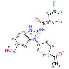 CC(=O)[C@H]1CC[C@@H](n2/c(=N/C(=O)c3cccc(F)c3)[nH]c3ccc(CO)cc32)CC1